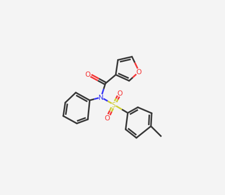 Cc1ccc(S(=O)(=O)N(C(=O)c2ccoc2)c2ccccc2)cc1